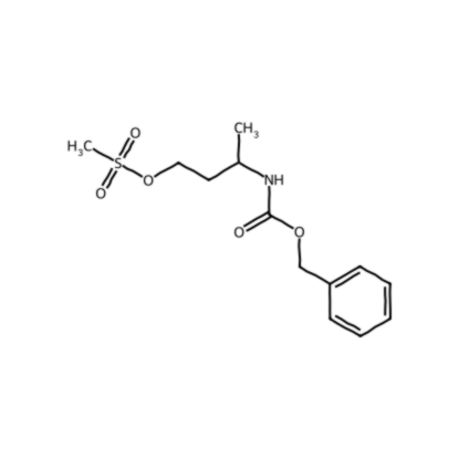 CC(CCOS(C)(=O)=O)NC(=O)OCc1ccccc1